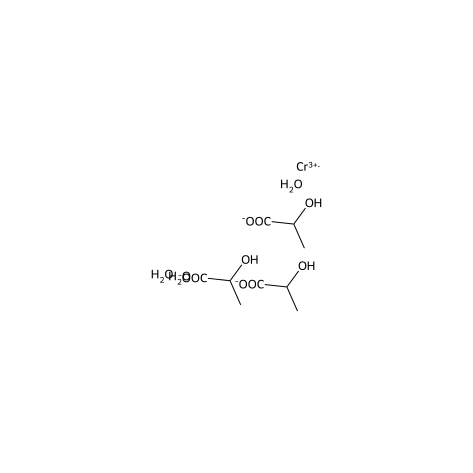 CC(O)C(=O)[O-].CC(O)C(=O)[O-].CC(O)C(=O)[O-].O.O.O.[Cr+3]